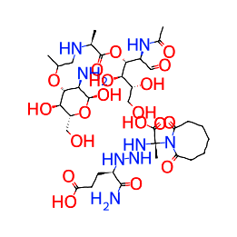 CC(=O)N[C@@H](C=O)[C@@H](OC(=O)[C@H](C)NCC(C)O[C@@H]1[C@@H](N)[C@@H](O)O[C@H](CO)[C@H]1O)[C@H](O)[C@H](O)CO.C[C@@](NNN[C@H](CCC(=O)O)C(N)=O)(C(=O)O)N1C(=O)CCCCCC1=O